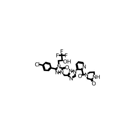 O=C1CN(C(=O)c2ncccc2-n2cnc(Cn3nc(-c4ccc(Cl)cc4)n(C[C@@H](O)C(F)(F)F)c3=O)n2)CCN1